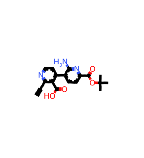 C#Cc1nccc(-c2ccc(C(=O)OC(C)(C)C)nc2N)c1C(=O)O